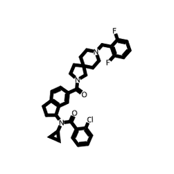 O=C(c1ccc2c(c1)C(N(C(=O)c1ccccc1Cl)C1CC1)CC2)N1CCC2(CCN(Cc3c(F)cccc3F)CC2)C1